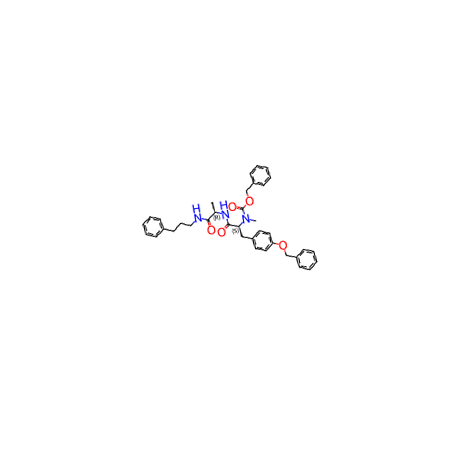 C[C@@H](NC(=O)[C@H](Cc1ccc(OCc2ccccc2)cc1)N(C)C(=O)OCc1ccccc1)C(=O)NCCCc1ccccc1